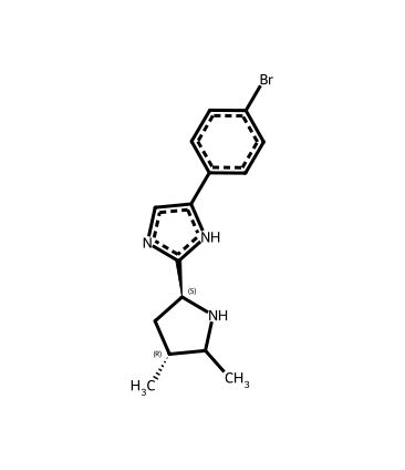 CC1N[C@H](c2ncc(-c3ccc(Br)cc3)[nH]2)C[C@H]1C